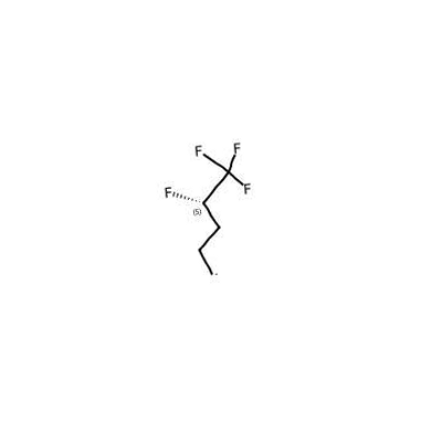 [CH2]CC[C@H](F)C(F)(F)F